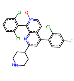 [O-][n+]1ccc2c(-c3ccc(F)cc3Cl)cc(C3CCNCC3)nc2c1-c1c(Cl)cccc1Cl